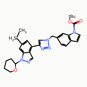 C[SiH2]c1cc(-c2cn(Cc3ccc4ccn(C(=O)OC(C)(C)C)c4c3)nn2)c2cnn(C3CCCCO3)c2c1